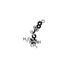 CCC1=NC(C)=C2CNCC(C3CCN(C(=O)CCS(=O)(=O)c4ccc5cc(Cl)ccc5c4)CC3)[N+]12[O-]